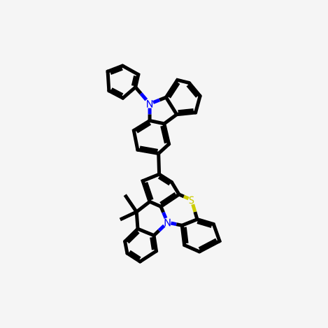 CC1(C)c2ccccc2N2c3ccccc3Sc3cc(-c4ccc5c(c4)c4ccccc4n5-c4ccccc4)cc1c32